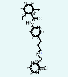 O=C(Nc1ccc(CC/C=N/Oc2nccnc2Cl)cn1)c1c(F)cccc1F